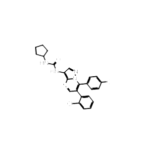 O=C(Nc1cnn2c(-c3ccc(Cl)cc3)c(-c3ccccc3Cl)cnc12)NC1CCCC1